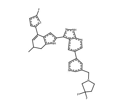 CC1C=C(c2ccc(F)s2)c2cc(-c3n[nH]c4ncc(-c5cncc(CN6CCC(F)(F)C6)c5)cc34)[nH]c2C1